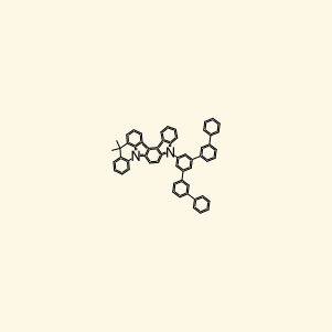 CC1(C)c2ccccc2-n2c3ccc4c(c5ccccc5n4-c4cc(-c5cccc(-c6ccccc6)c5)cc(-c5cccc(-c6ccccc6)c5)c4)c3c3cccc1c32